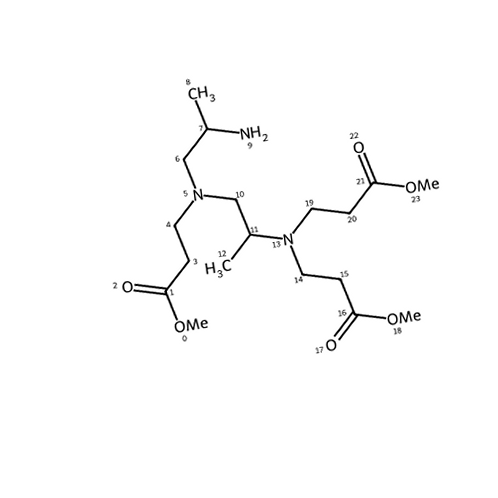 COC(=O)CCN(CC(C)N)CC(C)N(CCC(=O)OC)CCC(=O)OC